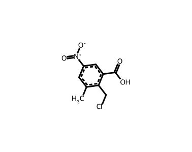 Cc1cc([N+](=O)[O-])cc(C(=O)O)c1CCl